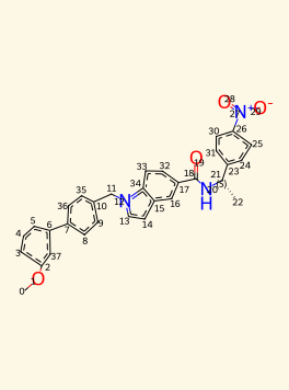 COc1cccc(-c2ccc(Cn3ccc4cc(C(=O)N[C@@H](C)c5ccc([N+](=O)[O-])cc5)ccc43)cc2)c1